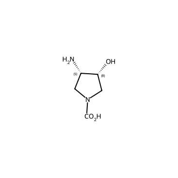 N[C@H]1CN(C(=O)O)C[C@H]1O